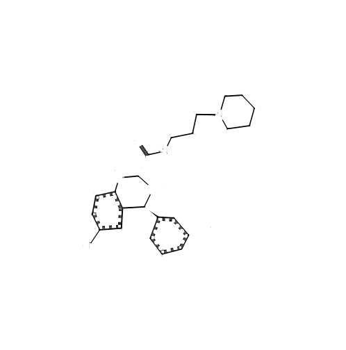 Cl.O=C(NCCCN1CCCCC1)[C@H]1Oc2ccc(Cl)cc2[C@H](c2ccccc2)O1